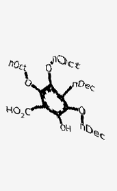 CCCCCCCCCCOc1c(O)c(C(=O)O)c(OCCCCCCCC)c(OCCCCCCCC)c1CCCCCCCCCC